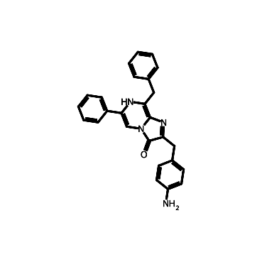 Nc1ccc(Cc2nc3c(Cc4ccccc4)[nH]c(-c4ccccc4)cn-3c2=O)cc1